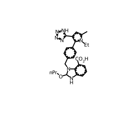 CCCOC1Nc2cccc(C(=O)O)c2N1Cc1ccc(-c2c(-c3nnn[nH]3)cc(C)n2CC)cc1